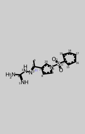 C/C(=N\NC(=N)N)c1ccn(S(=O)(=O)c2ccccc2)c1